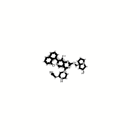 N#CC[C@H]1CN(c2nc(OC[C@@]34CCCN3C[C@H](F)C4)nc3c(F)c(-c4cccc5cccc(Cl)c45)ncc23)CCN1